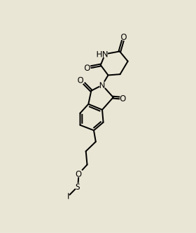 O=C1CCC(N2C(=O)c3ccc(CCCOSI)cc3C2=O)C(=O)N1